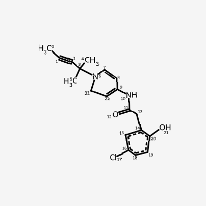 CC#CC(C)(C)N1C=CC(NC(=O)Cc2cc(Cl)ccc2O)=CC1